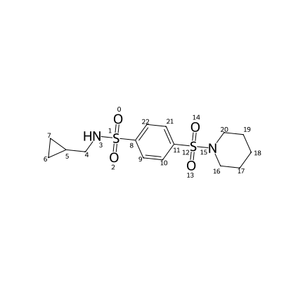 O=S(=O)(NCC1CC1)c1ccc(S(=O)(=O)N2CCCCC2)cc1